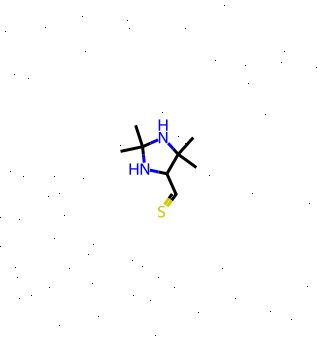 CC1(C)NC(C=S)C(C)(C)N1